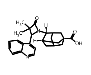 CC1(C)C(=O)N([C@@H]2C3CC4C[C@H]2C[C@@](C(=O)O)(C4)C3)C1c1ccnc2ccccc12